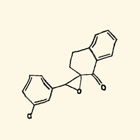 O=C1c2ccccc2CCC12OC2c1cccc(Cl)c1